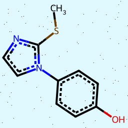 CSc1nccn1-c1ccc(O)cc1